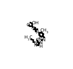 C=CCCn1ncc(Nc2ncc3cc(C)c(N4CC5(C4)CN(C4COCC4O)C5)cc3n2)c1Cl